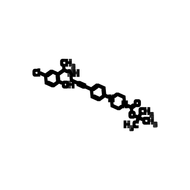 CC(NCC#Cc1ccc(N2CCN(C(=O)OC(C)(C)C)CC2)cc1)c1cc(Cl)ccc1O